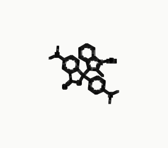 CCCCn1c(C)c(C2(c3ccc(N(C)C)cc3)OC(=O)c3cc(N(C)C)ccc32)c2ccccc21